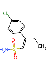 CC/C(=C/S(N)(=O)=O)c1ccc(Cl)cc1